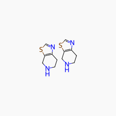 c1nc2c(s1)CNCC2.c1nc2c(s1)CNCC2